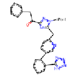 CCCCCn1nc(C(=O)Cc2ccccc2)nc1Cc1ccc(-c2ccccc2-c2nnn[nH]2)cn1